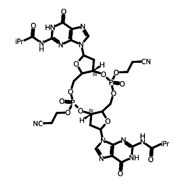 CC(C)C(=O)Nc1nc2c(ncn2C2C[C@@H]3OP(=O)(OCCC#N)OCC4OC(n5cnc6c(=O)[nH]c(NC(=O)C(C)C)nc65)C[C@@H]4OP(=O)(OCCC#N)OCC3O2)c(=O)[nH]1